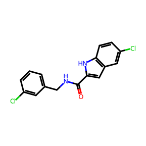 O=C(NCc1cccc(Cl)c1)c1cc2cc(Cl)ccc2[nH]1